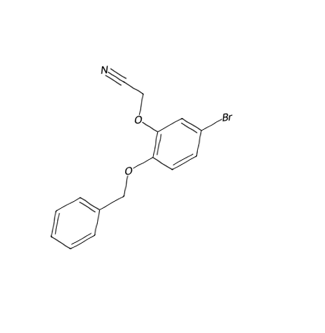 N#CCOc1cc(Br)ccc1OCc1ccccc1